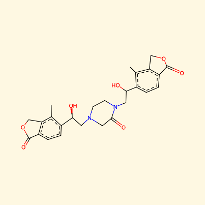 Cc1c(C(O)CN2CCN(C[C@H](O)c3ccc4c(c3C)COC4=O)CC2=O)ccc2c1COC2=O